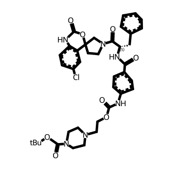 CC(C)(C)OC(=O)N1CCN(CCOC(=O)Nc2ccc(C(=O)N[C@@H](Cc3ccccc3)C(=O)N3CCC4(C3)OC(=O)Nc3ccc(Cl)cc34)cc2)CC1